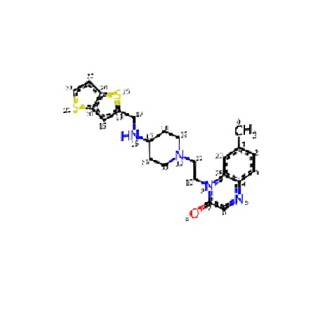 Cc1ccc2ncc(=O)n(CCN3CCC(NCc4cc5sccc5s4)CC3)c2c1